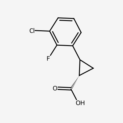 O=C(O)[C@H]1CC1c1cccc(Cl)c1F